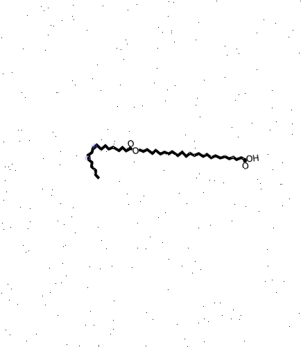 CCCCC/C=C\C/C=C\CCCCCCCC(=O)OCCCCCCCCCCCCCCCCCCCCCCCCCC(=O)O